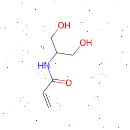 C=CC(=O)NC(CO)CO